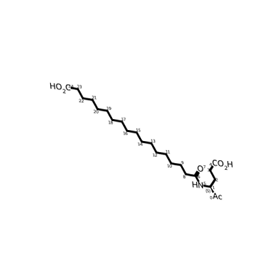 CC(=O)[C@H](CCC(=O)O)NC(=O)CCCCCCCCCCCCCCCCC(=O)O